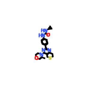 CC1COCCN1c1nc(-c2ccc(NC(=O)NC3CC3)cc2)nc2c1CSCC2